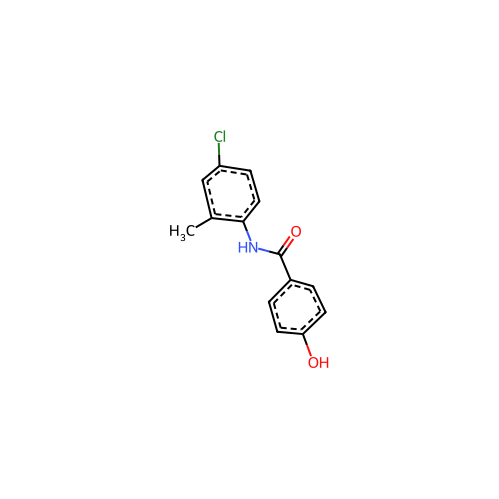 Cc1cc(Cl)ccc1NC(=O)c1ccc(O)cc1